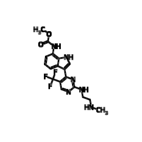 CNCCNc1ncc(C(F)(F)F)c(-c2c[nH]c3c(NC(=O)OC)cccc23)n1